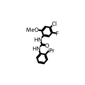 COc1cc(Cl)c(F)cc1NC(=O)Nc1ccccc1C(C)C